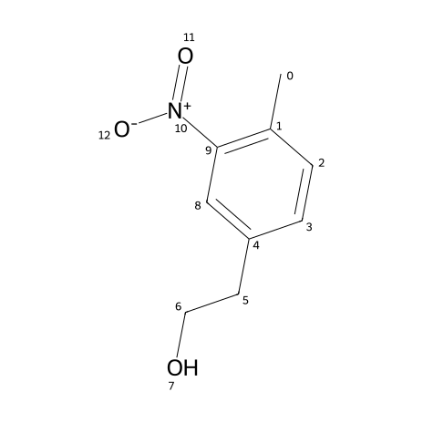 Cc1ccc(CCO)cc1[N+](=O)[O-]